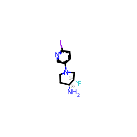 N[C@@H]1CCN(c2ccc(I)nc2)C[C@@H]1F